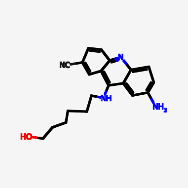 N#Cc1ccc2nc3ccc(N)cc3c(NCCCCCCO)c2c1